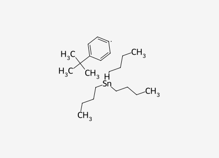 CC(C)(C)c1cc[c]cc1.CCC[CH2][SnH]([CH2]CCC)[CH2]CCC